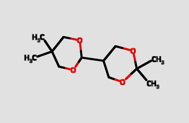 CC1(C)COC(C2COC(C)(C)OC2)OC1